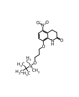 CC(C)(C)[Si](C)(C)OCCCOc1ccc([N+](=O)[O-])c2c1NC(=O)CC2